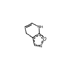 C1=CNc2oncc2C1